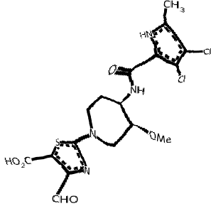 CO[C@H]1CN(c2nc(C=O)c(C(=O)O)s2)CC[C@H]1NC(=O)c1[nH]c(C)c(Cl)c1Cl